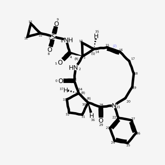 O=C1N[C@]2(C(=O)NS(=O)(=O)C3CC3)C[C@H]2/C=C\CCCCN(c2ccccc2)C(=O)[C@@H]2CCC[C@@H]12